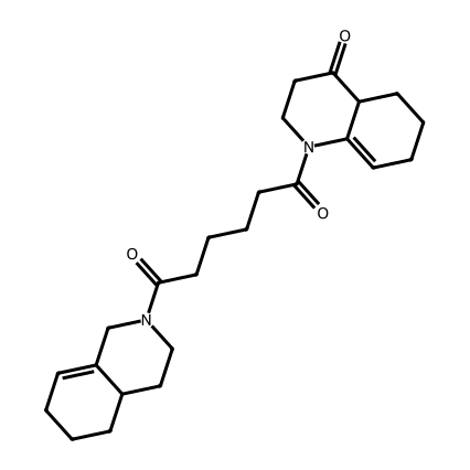 O=C1CCN(C(=O)CCCCC(=O)N2CCC3CCCC=C3C2)C2=CCCCC12